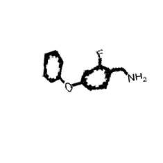 NCc1ccc(Oc2ccccc2)cc1F